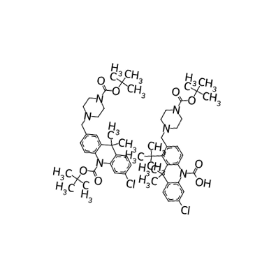 CC(C)(C)OC(=O)N1CCN(Cc2ccc3c(c2)C(C)(C)c2ccc(Cl)cc2N3C(=O)OC(C)(C)C)CC1.CC(C)(C)OC(=O)N1CCN(Cc2ccc3c(c2C(C)(C)C)C(C)(C)c2ccc(Cl)cc2N3C(=O)O)CC1